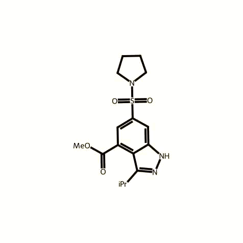 COC(=O)c1cc(S(=O)(=O)N2CCCC2)cc2[nH]nc(C(C)C)c12